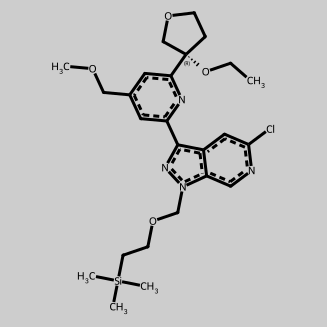 CCO[C@@]1(c2cc(COC)cc(-c3nn(COCC[Si](C)(C)C)c4cnc(Cl)cc34)n2)CCOC1